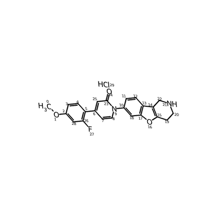 COc1ccc(-c2ccn(-c3ccc4c5c(oc4c3)CCNC5)c(=O)c2)c(F)c1.Cl